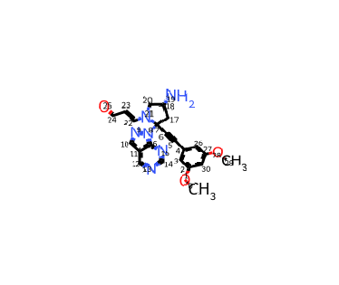 COc1cc(C#CC2(n3ncc4cncnc43)CC(N)CN2C=CC=O)cc(OC)c1